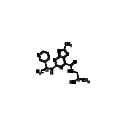 Cc1nc2nc(N[C@@H](C)c3cccnc3)nc(C(=O)NC[C@@H](C)O)c2s1